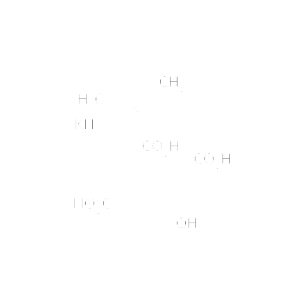 C=C(C)C(=O)O.O=C(O)CC(O)C(=O)O.[KH]